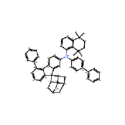 CC1(C)CCC(C)(C)c2c(N(c3ccc(-c4ccccc4)cc3)c3ccc4c(c3)C3(c5cccc(-c6ccccc6)c5-4)C4CC5CC6CC3C64C5)cccc21